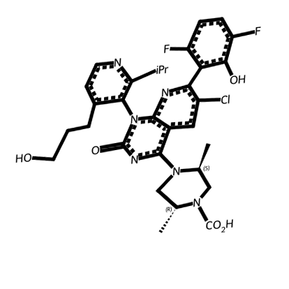 CC(C)c1nccc(CCCO)c1-n1c(=O)nc(N2C[C@@H](C)N(C(=O)O)C[C@@H]2C)c2cc(Cl)c(-c3c(F)ccc(F)c3O)nc21